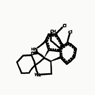 CCc1c(Cl)cccc1[C@H]1CNC2(CCCCC2)[C@@]12C(=O)Nc1cc(Cl)ccc12